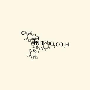 O=C(O)COc1ccc(CC(Cc2ccccc2)NS(=O)(=O)c2ccc(Cl)cc2)cc1